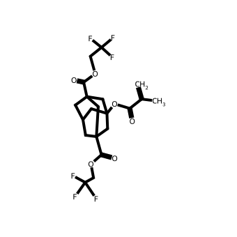 C=C(C)C(=O)OC12CC3CC(C(=O)OCC(F)(F)F)(C1)CC(C(=O)OCC(F)(F)F)(C3)C2